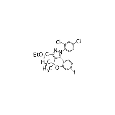 CCOC(=O)c1nn(-c2ccc(Cl)cc2Cl)c2c1C(C)(C)Oc1cc(I)ccc1-2